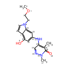 COCCn1ccc2c(O)cc(Nc3cnn(C)c(=O)c3C)cc21